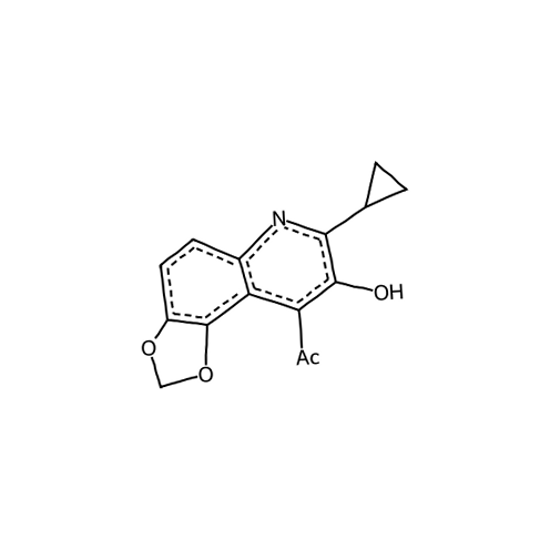 CC(=O)c1c(O)c(C2CC2)nc2ccc3c(c12)OCO3